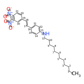 CCCCCCCCCCCCNc1ccc(C=Cc2ccc([N+](=O)[O-])c([N+](=O)[O-])c2)cc1